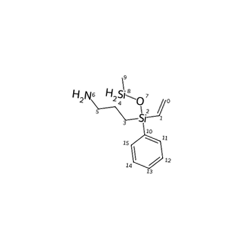 C=C[Si](CCCN)(O[SiH2]C)c1ccccc1